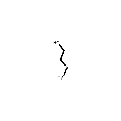 [CH]CCSC